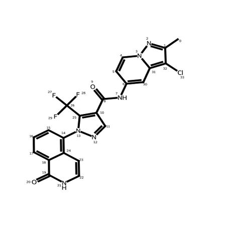 Cc1nn2ccc(NC(=O)c3cnn(-c4cccc5c(=O)[nH]ccc45)c3C(F)(F)F)cc2c1Cl